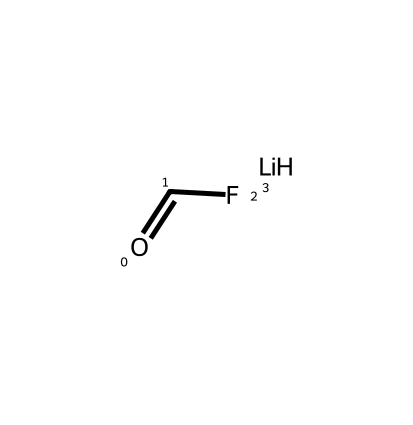 O=CF.[LiH]